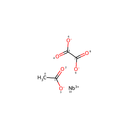 CC(=O)[O-].O=C([O-])C(=O)[O-].[Nb+3]